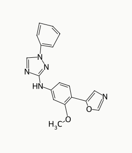 COc1cc(Nc2ncn(-c3ccccc3)n2)ccc1-c1cnco1